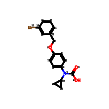 O=C(O)N(c1ccc(OCc2cccc(Br)c2)cc1)C1CC1